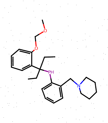 CCC(CC)(Pc1ccccc1CN1CCCCC1)c1ccccc1OCOC